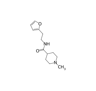 CN1CCC(C(=O)NCCc2ccco2)CC1